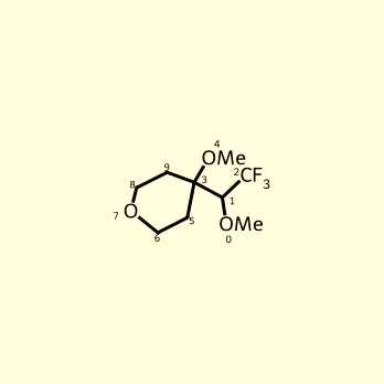 COC(C(F)(F)F)C1(OC)CCOCC1